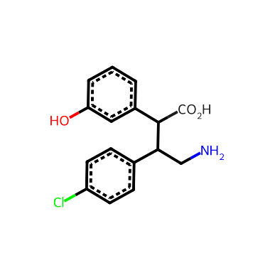 NCC(c1ccc(Cl)cc1)C(C(=O)O)c1cccc(O)c1